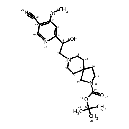 COc1cc(C(O)CN2CCC3(CC2)CCN(C(=O)OC(C)(C)C)C3)ncc1C#N